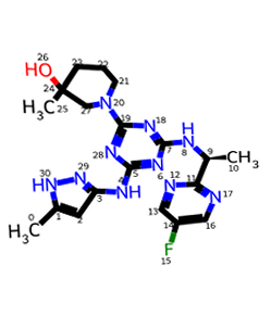 Cc1cc(Nc2nc(N[C@@H](C)c3ncc(F)cn3)nc(N3CCCC(C)(O)C3)n2)n[nH]1